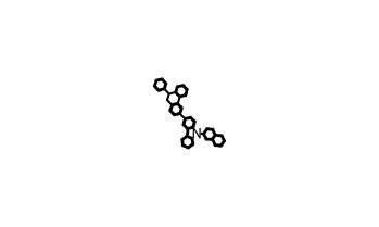 c1ccc(C2Cc3ccc(-c4ccc5c(c4)c4ccccc4n5-c4ccc5ccccc5c4)cc3-c3ccccc32)cc1